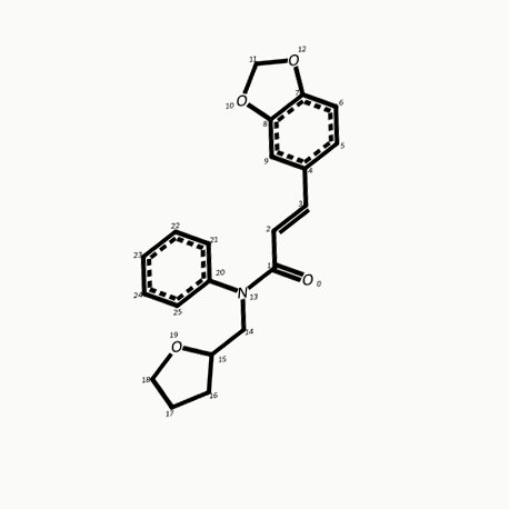 O=C(C=Cc1ccc2c(c1)OCO2)N(CC1CCCO1)c1ccccc1